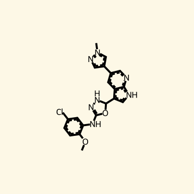 COc1ccc(Cl)cc1NC1=NNC(c2c[nH]c3ncc(-c4cnn(C)c4)cc23)O1